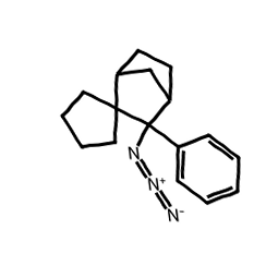 [N-]=[N+]=NC1(c2ccccc2)C2CCC(C2)C12CCCC2